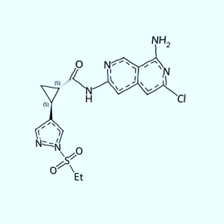 CCS(=O)(=O)n1cc([C@H]2C[C@@H]2C(=O)Nc2cc3cc(Cl)nc(N)c3cn2)cn1